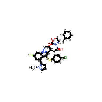 Cn1cccc1-c1cc(F)cc2c1c(Sc1ccc(Cl)cc1)c1n2CCC1CC(=O)N1C(=O)OC[C@@H]1Cc1ccccc1